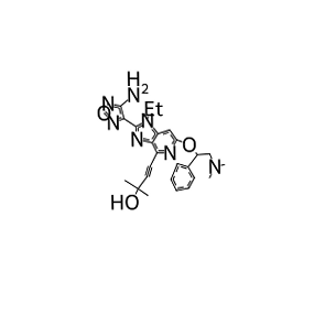 CCn1c(-c2nonc2N)nc2c(C#CC(C)(C)O)nc(OC(CN(C)C)c3ccccc3)cc21